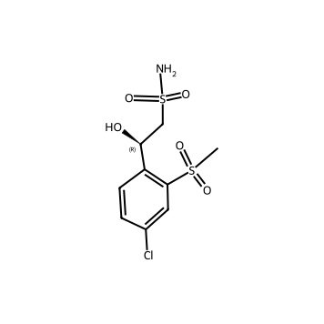 CS(=O)(=O)c1cc(Cl)ccc1[C@@H](O)CS(N)(=O)=O